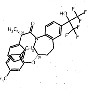 Cc1ccc(C)c(O[C@H]2CCc3cc(C(O)(C(F)(F)F)C(F)(F)F)ccc3N(C(=O)[C@@H](C)c3ccccc3)C2)c1